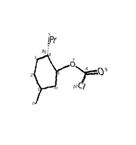 CC1CC[C@H](C(C)C)C(OC(=O)Cl)C1